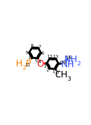 Cc1cc(Oc2ccccc2P)ccc1NN